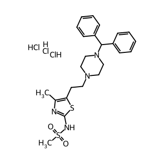 Cc1nc(NS(C)(=O)=O)sc1CCN1CCN(C(c2ccccc2)c2ccccc2)CC1.Cl.Cl.Cl